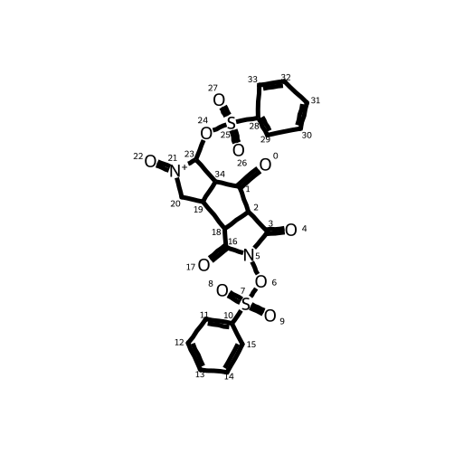 O=C1C2C(=O)N(OS(=O)(=O)c3ccccc3)C(=O)C2C2C[N+](=O)C(OS(=O)(=O)c3ccccc3)C12